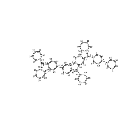 c1ccc(-c2ccc(-n3c4ccccc4c4cc5c6cc(-c7ccc8c(c7)c7ccccc7n8-c7ccccc7)ccc6n(-c6ccccc6)c5cc43)cc2)cc1